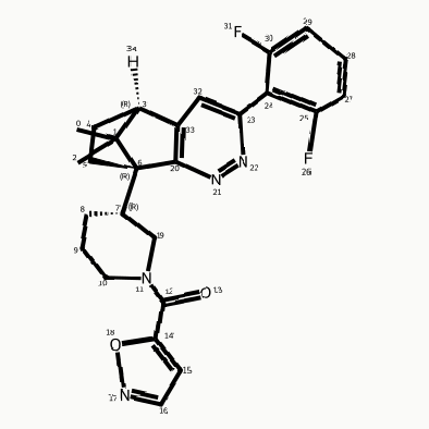 CC1(C)[C@H]2CC[C@]1([C@H]1CCCN(C(=O)c3ccno3)C1)c1nnc(-c3c(F)cccc3F)cc12